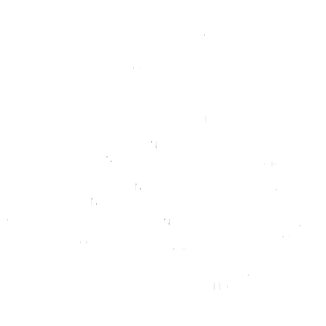 CCOC(=O)c1sc(Nc2nc(OC3CCOCC3)cc(N(C)Cc3cc(OC)c(OC)c(OC)c3)n2)nc1C